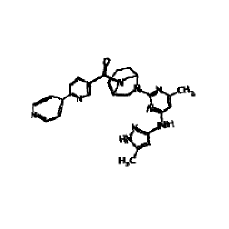 Cc1cc(Nc2cc(C)[nH]n2)nc(N2CC3CCCC2CN3C(=O)c2ccc(-c3ccncc3)nc2)n1